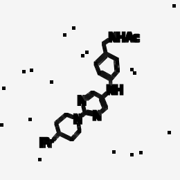 CC(=O)NCc1ccc(Nc2cnc(N3CCC(C(C)C)CC3)nc2)cc1